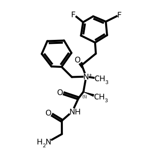 C[C@@H](C(=O)NC(=O)CN)[N+](C)(Cc1ccccc1)C(=O)Cc1cc(F)cc(F)c1